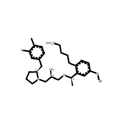 CCOC(=O)CCCCc1ccc(OC(C)C)cc1[C@@H](C)OC[C@H](O)CN1CCC[C@H]1Cc1ccc(C)c(F)c1